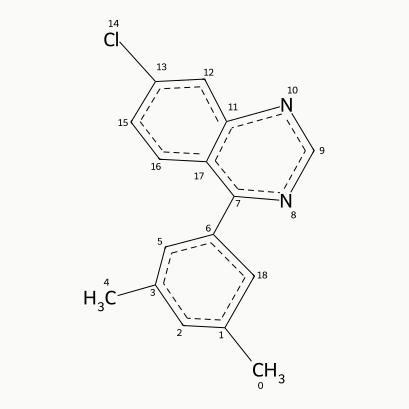 Cc1cc(C)cc(-c2ncnc3cc(Cl)ccc23)c1